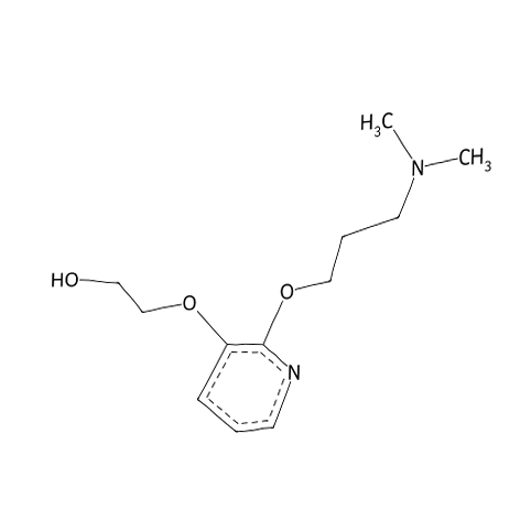 CN(C)CCCOc1ncccc1OCCO